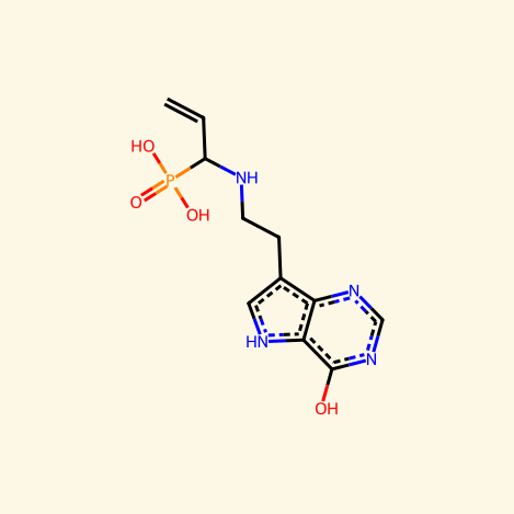 C=CC(NCCc1c[nH]c2c(O)ncnc12)P(=O)(O)O